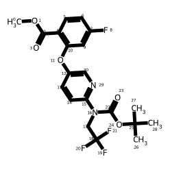 COC(=O)c1ccc(F)cc1Oc1ccc(N(CC(F)(F)F)C(=O)OC(C)(C)C)nc1